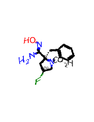 NC(=NO)[C@]1(Cc2ccccc2)C[C@H](F)CN1C(=O)O